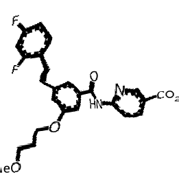 COCCCOc1cc(/C=C/c2ccc(F)cc2F)cc(C(=O)Nc2ccc(C(=O)O)cn2)c1